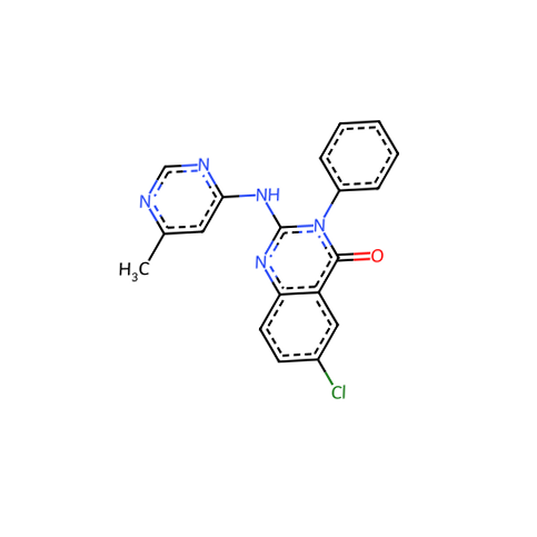 Cc1cc(Nc2nc3ccc(Cl)cc3c(=O)n2-c2ccccc2)ncn1